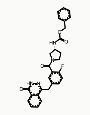 O=C(N[C@@H]1CCN(C(=O)c2cc(Cc3n[nH]c(=O)c4ccccc34)ccc2F)C1)OCc1ccccc1